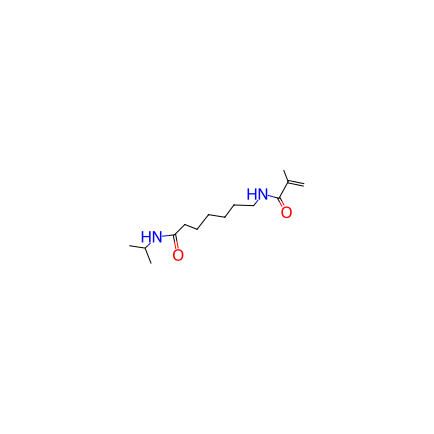 C=C(C)C(=O)NCCCCCCC(=O)NC(C)C